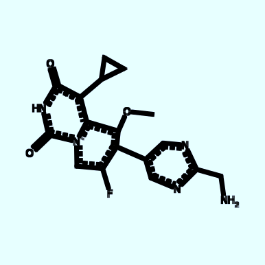 COc1c(-c2cnc(CN)nc2)c(F)cn2c(=O)[nH]c(=O)c(C3CC3)c12